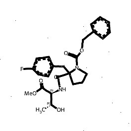 COC(=O)[C@@H](NC(=O)C1(Cc2ccc(F)cc2)CCCN1C(=O)OCc1ccccc1)[C@@H](C)O